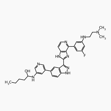 CCCCC(O)Nc1cncc(-c2ccc3[nH]nc(-c4nc5c(-c6cc(F)cc(NCCN(C)C)c6)nccc5[nH]4)c3c2)c1